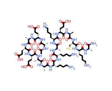 CC(=O)N[C@@H](C)C(=O)N[C@@H](CCC(=O)O)C(=O)N[C@@H](C)C(=O)N[C@@H](CCC(=O)O)C(=O)N[C@@H](CCC(=O)O)C(=O)N[C@@H](C)C(=O)N[C@@H](C)C(=O)N[C@@H](CCCCN)C(=O)N[C@@H](CCCCN)C(=O)N[C@@H](C)C(=O)N[C@@H](CCCCN)C(=O)N[C@@H](CCC(=O)O)C(=O)N[C@@H](C)C(=O)N[C@@H](CS)C(=O)N[C@@H](CCCCN)C(=O)N[C@@H](C)C(N)=O